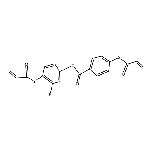 C=CC(=O)Sc1ccc(C(=O)Oc2ccc(SC(=O)C=C)c(F)c2)cc1